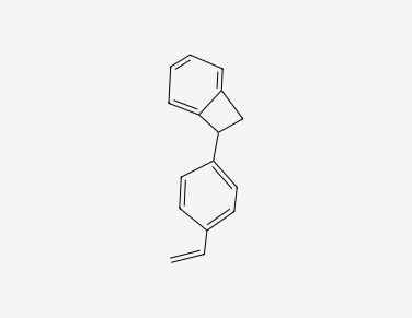 C=Cc1ccc(C2Cc3ccccc32)cc1